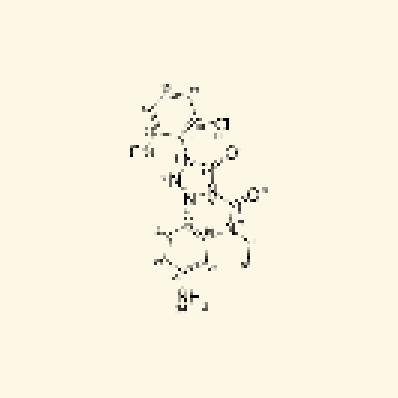 CCN(C(=O)n1nnn(-c2c(Cl)cccc2Cl)c1=O)c1cccc(N)c1